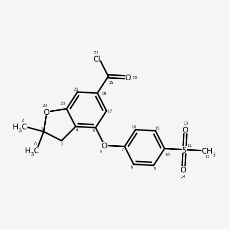 CC1(C)Cc2c(Oc3ccc(S(C)(=O)=O)cc3)cc(C(=O)Cl)cc2O1